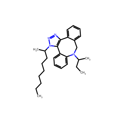 CCCCCCCC(C)n1nnc2c1-c1ccccc1N(C(C)CC)Cc1ccccc1-2